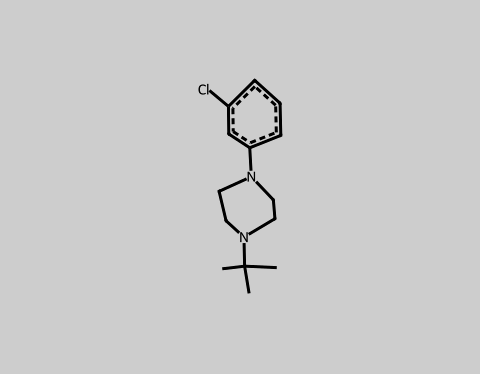 CC(C)(C)N1CCN(c2cccc(Cl)c2)CC1